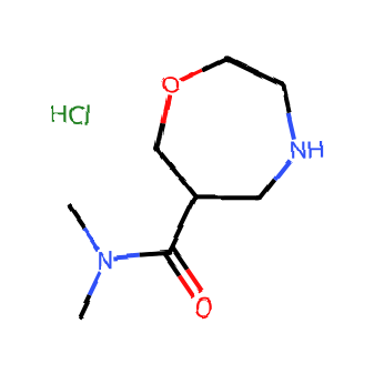 CN(C)C(=O)C1CNCCOC1.Cl